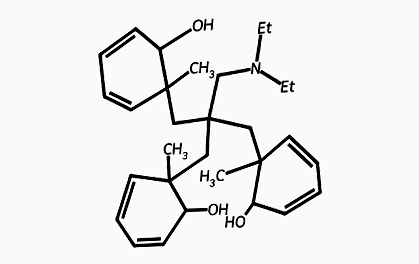 CCN(CC)CC(CC1(C)C=CC=CC1O)(CC1(C)C=CC=CC1O)CC1(C)C=CC=CC1O